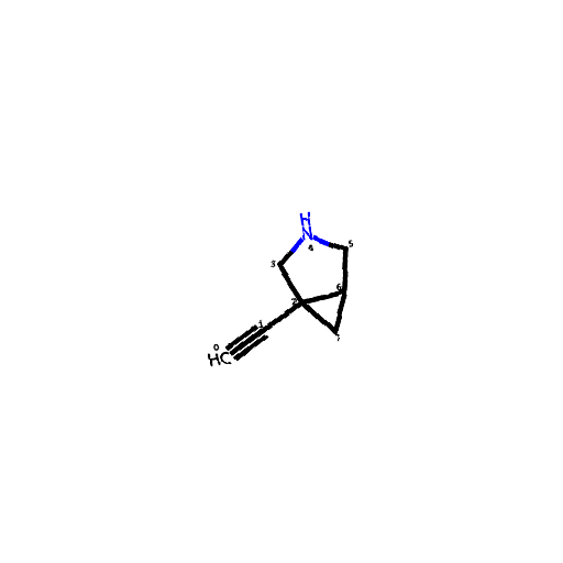 C#CC12CNCC1C2